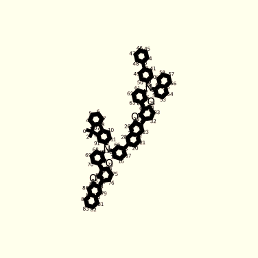 CC1(C)c2ccccc2-c2ccc(N(c3cccc(-c4ccc5cc6c(cc5c4)oc4c6ccc5oc6c(N(c7ccc(-c8ccccc8)cc7)c7cccc8ccccc78)cccc6c54)c3)c3cccc4c3oc3ccc5c6cc7ccccc7cc6oc5c34)cc21